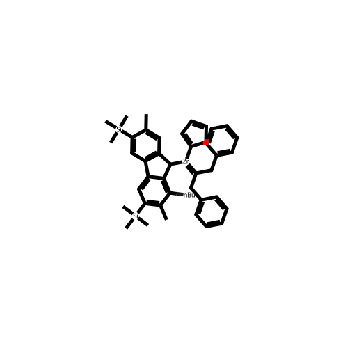 CCCCc1c(C)c([Si](C)(C)C)cc2c1[CH]([Zr]([C]1=CC=CC1)=[C](Cc1ccccc1)Cc1ccccc1)c1cc(C)c([Si](C)(C)C)cc1-2